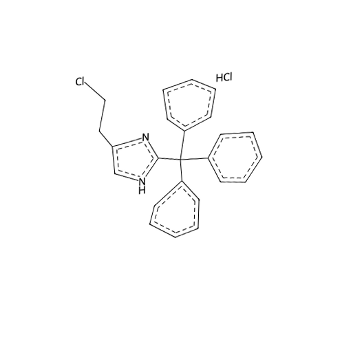 Cl.ClCCc1c[nH]c(C(c2ccccc2)(c2ccccc2)c2ccccc2)n1